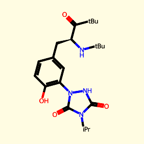 CC(C)n1c(=O)[nH]n(-c2cc(C[C@H](NC(C)(C)C)C(=O)C(C)(C)C)ccc2O)c1=O